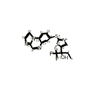 CCC(O)(c1cnc(Sc2ccc3c(c2)ncc2nccn23)s1)C(F)(F)F